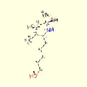 CC(C)[C@@](NC(CCCCCO)CC(F)(F)F)(C(=O)O)C(C)(C)C